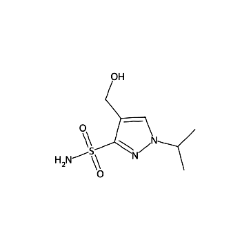 CC(C)n1cc(CO)c(S(N)(=O)=O)n1